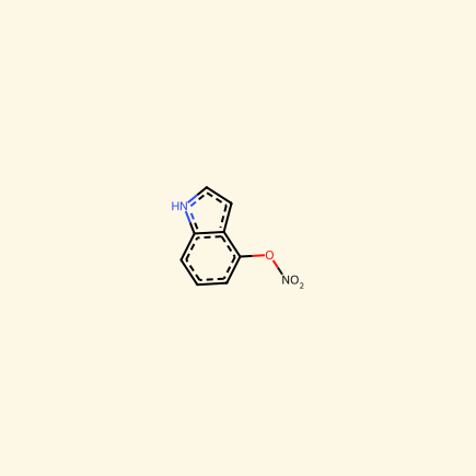 O=[N+]([O-])Oc1cccc2[nH]ccc12